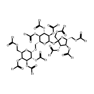 CCC(=O)OC[C@H]1O[C@H](OC[C@H]2O[C@H](O[C@]3(COC(=O)CC)O[C@H](COC(=O)CC)[C@@H](OC(=O)CC)[C@@H]3OC(=O)CC)[C@H](OC(=O)CC)[C@@H](OC(=O)CC)[C@@H]2OC(=O)CC)[C@H](OC(=O)CC)[C@@H](OC(=O)CC)[C@H]1OC(=O)CC